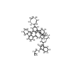 C/C=C\c1[nH]c2c(c1/C=C(\C)n1c(C)c(C/C=C\CC)c3ccccc31)C=C(c1cccc3c1N(c1cc(-c4ccccc4)cc(C4/C=C\C/C=C\CC4)c1)C1C=CC=CC31)CC=C2